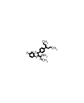 C=N/C(N)=C(\Sc1ccc(F)cc1)C(=C)c1ccc(/C(=C\CC)CCC)cc1